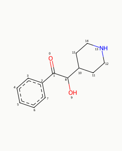 O=C(c1ccccc1)C(O)C1CCNCC1